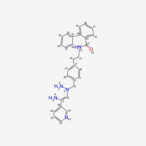 N/C(=C\N(N)Cc1ccc(CCNC(=O)c2ccccc2-c2ccccc2)cc1)c1cccnc1